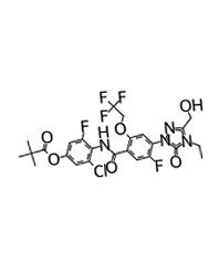 CCn1c(CO)nn(-c2cc(OCC(F)(F)F)c(C(=O)Nc3c(F)cc(OC(=O)C(C)(C)C)cc3Cl)cc2F)c1=O